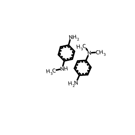 CN(C)c1ccc(N)cc1.CNc1ccc(N)cc1